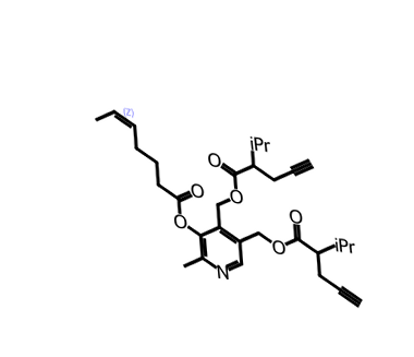 C#CCC(C(=O)OCc1cnc(C)c(OC(=O)CCC/C=C\C)c1COC(=O)C(CC#C)C(C)C)C(C)C